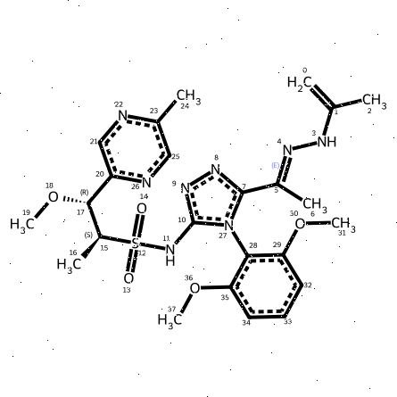 C=C(C)N/N=C(\C)c1nnc(NS(=O)(=O)[C@@H](C)[C@H](OC)c2cnc(C)cn2)n1-c1c(OC)cccc1OC